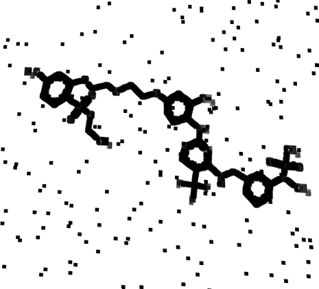 CCOS(=O)(=O)c1ccc(C)cc1OCCOCCOc1ccc(Nc2ncc(C(F)(F)F)c(NCc3cccc(N(C)S(C)(=O)=O)c3)n2)c(C)c1